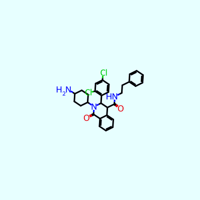 NC1CCC(N2C(=O)c3ccccc3C(C(=O)NCCc3ccccc3)C2c2ccc(Cl)cc2Cl)CC1